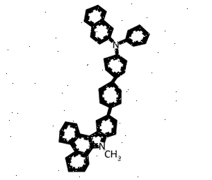 Cn1c2ccc(-c3ccc(-c4ccc(N(c5ccccc5)c5ccc6ccccc6c5)cc4)cc3)cc2c2c3ccccc3c3ccccc3c21